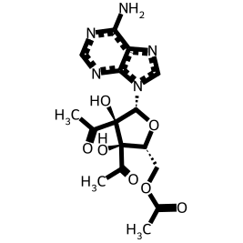 CC(=O)OC[C@H]1O[C@@H](n2cnc3c(N)ncnc32)[C@@](O)(C(C)=O)[C@@]1(O)C(C)=O